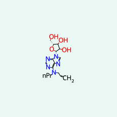 C=CCN(CCC)c1ncnc2c1ncn2[C@@H]1O[C@H](CO)[C@@H](O)[C@H]1O